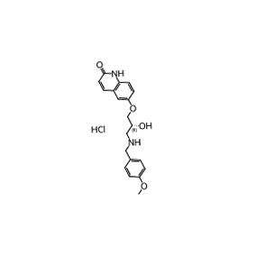 COc1ccc(CNC[C@@H](O)COc2ccc3[nH]c(=O)ccc3c2)cc1.Cl